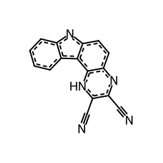 N#Cc1nc2ccc3nc4ccccc4c3c2[nH]c1C#N